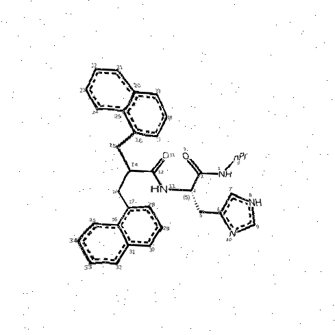 CCCNC(=O)[C@H](Cc1c[nH]cn1)NC(=O)C(Cc1cccc2ccccc12)Cc1cccc2ccccc12